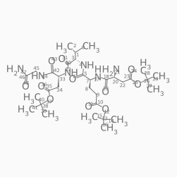 CC(C)[C@H](NC(=O)[C@H](CCC(=O)OC(C)(C)C)NC(=O)[C@@H](N)CC(=O)OC(C)(C)C)C(=O)N[C@@H](CC(=O)OC(C)(C)C)C(=O)NCC(N)=O